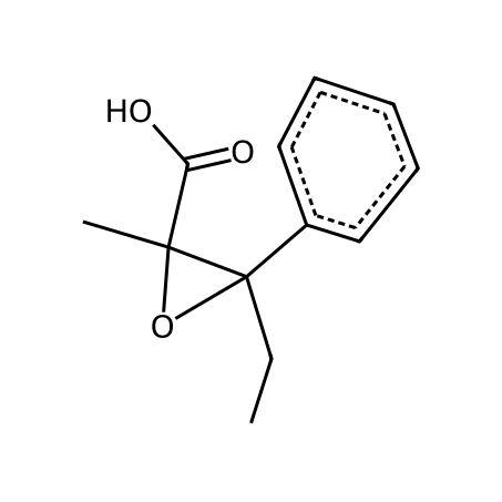 CCC1(c2ccccc2)OC1(C)C(=O)O